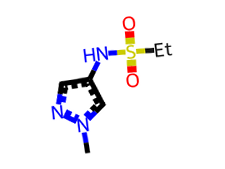 CCS(=O)(=O)Nc1cnn(C)c1